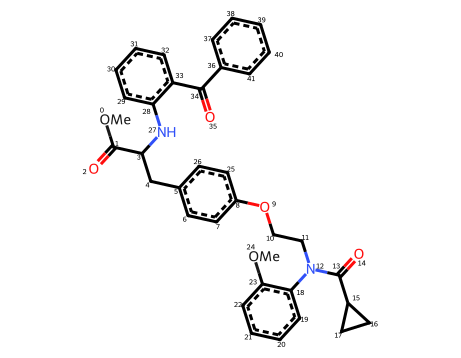 COC(=O)C(Cc1ccc(OCCN(C(=O)C2CC2)c2ccccc2OC)cc1)Nc1ccccc1C(=O)c1ccccc1